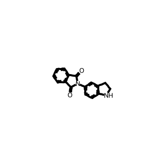 O=C1c2ccccc2C(=O)N1c1ccc2c(c1)CCN2